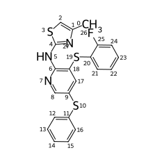 Cc1csc(Nc2ncc(Sc3ccccc3)cc2Sc2ccccc2F)n1